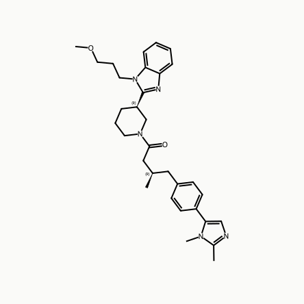 COCCCn1c([C@@H]2CCCN(C(=O)C[C@H](C)Cc3ccc(-c4cnc(C)n4C)cc3)C2)nc2ccccc21